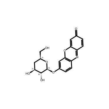 O=c1ccc2nc3ccc(O[C@@H]4O[C@H](CO)C[C@H](O)[C@H]4O)cc3oc-2c1